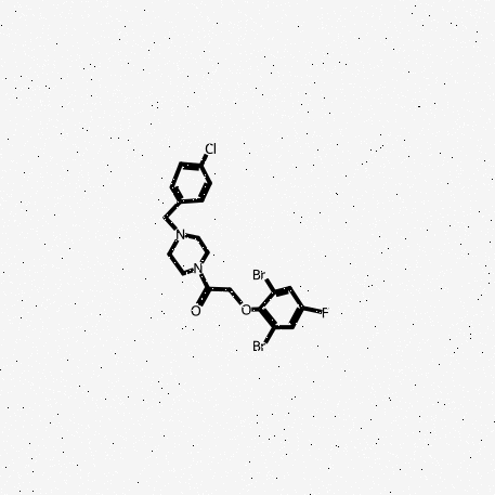 O=C(COc1c(Br)cc(F)cc1Br)N1CCN(Cc2ccc(Cl)cc2)CC1